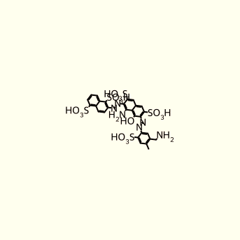 Cc1cc(S(=O)(=O)O)c(N=Nc2c(S(=O)(=O)O)cc3cc(S(=O)(=O)O)c(N=Nc4ccc5c(S(=O)(=O)O)cccc5c4S(=O)(=O)O)c(N)c3c2O)cc1CN